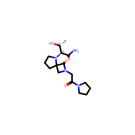 C[C@@H](O)[C@@H](C(N)=O)N1CCCC12CN(CC(=O)N1CCCC1)C2=O